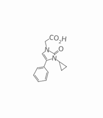 O=C(O)Cn1cc(-c2ccccc2)n(C2CC2)c1=O